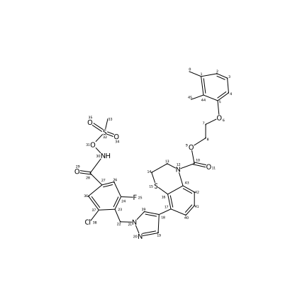 Cc1cccc(OCCOC(=O)N2CCSc3c(-c4cnn(Cc5c(F)cc(C(=O)NOS(C)(=O)=O)cc5Cl)c4)cccc32)c1C